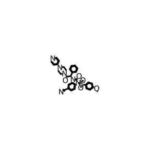 COc1ccc(S(=O)(=O)n2c(=O)n(C(C(=O)N3CCN(c4ccncc4)CC3)c3ccccc3)c3cc(C#N)ccc32)cc1